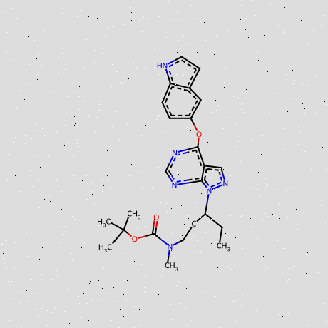 CCC(CCN(C)C(=O)OC(C)(C)C)n1ncc2c(Oc3ccc4[nH]ccc4c3)ncnc21